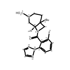 CC(C)(C)C12CCN(C(=O)O)C[C@H]1N(C(=O)c1c(F)cccc1-n1nccn1)C2